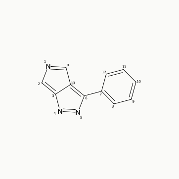 C1=NC=C2N=NC(c3ccccc3)=C12